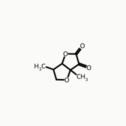 CC1COC2(C)C(=O)C(=O)OC12